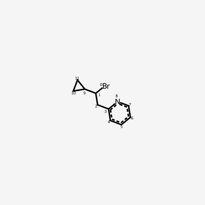 BrC(Cc1ccccn1)C1CC1